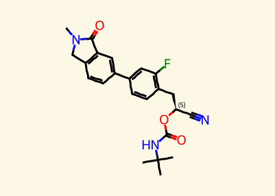 CN1Cc2ccc(-c3ccc(C[C@@H](C#N)OC(=O)NC(C)(C)C)c(F)c3)cc2C1=O